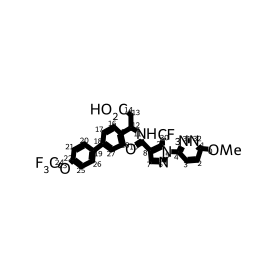 COc1ccc(-n2ncc(C(=O)NC(CC(=O)O)c3ccc(-c4ccc(OC(F)(F)F)cc4)cc3)c2C(F)(F)F)nn1